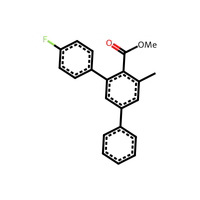 COC(=O)c1c(C)cc(-c2ccccc2)cc1-c1ccc(F)cc1